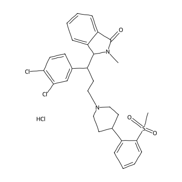 CN1C(=O)c2ccccc2C1C(CCN1CCC(c2ccccc2S(C)(=O)=O)CC1)c1ccc(Cl)c(Cl)c1.Cl